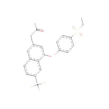 CCS(=O)(=O)c1ccc(Oc2cc(CC(=O)O)cc3ccc(C(F)(F)F)cc23)cc1